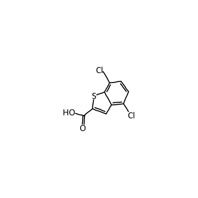 O=C(O)c1cc2c(Cl)ccc(Cl)c2s1